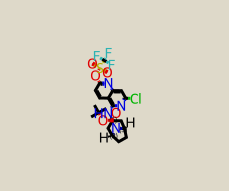 CC(C)(C)OC(=O)N1[C@@H]2CC[C@H]1C[C@H](Nc1nc(Cl)cc3nc(OS(=O)(=O)C(F)(F)F)ccc13)C2